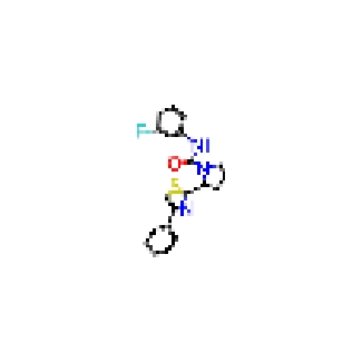 O=C(Nc1cccc(F)c1)N1CCCC1c1nc(-c2ccccc2)cs1